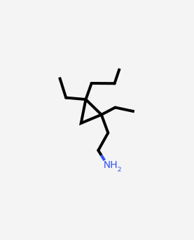 CCCC1(CC)CC1(CC)CCN